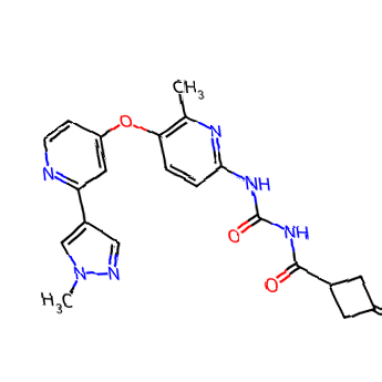 Cc1nc(NC(=O)NC(=O)C2CC(=O)C2)ccc1Oc1ccnc(-c2cnn(C)c2)c1